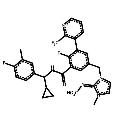 Cc1cc(C(NC(=O)c2cc(Cn3ccn(C)c3=NC(=O)O)cc(-c3cccnc3C(F)(F)F)c2F)C2CC2)ccc1F